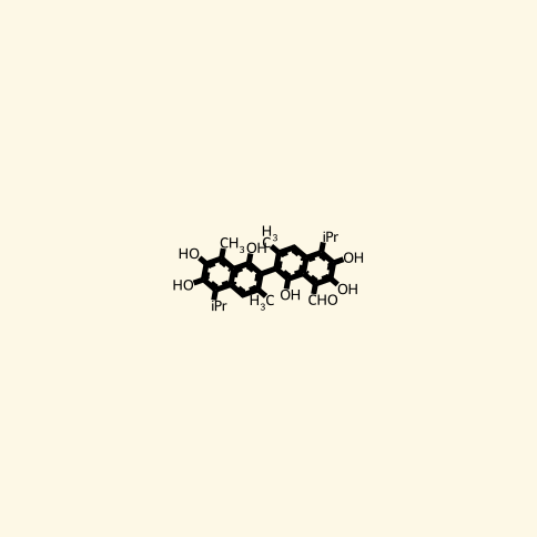 Cc1cc2c(C(C)C)c(O)c(O)c(C)c2c(O)c1-c1c(C)cc2c(C(C)C)c(O)c(O)c(C=O)c2c1O